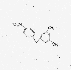 Cc1cc(O)cc(Cc2ccc([N+](=O)[O-])cc2)c1